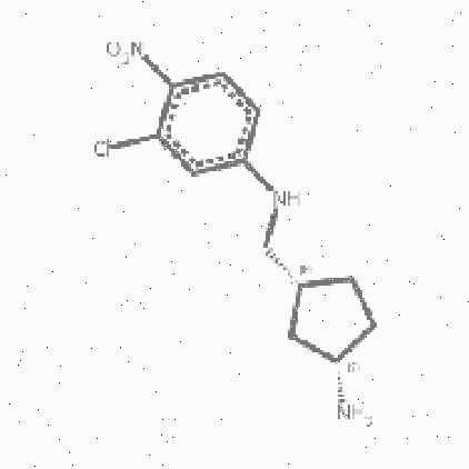 N[C@H]1CC[C@@H](CNc2ccc([N+](=O)[O-])c(Cl)c2)C1